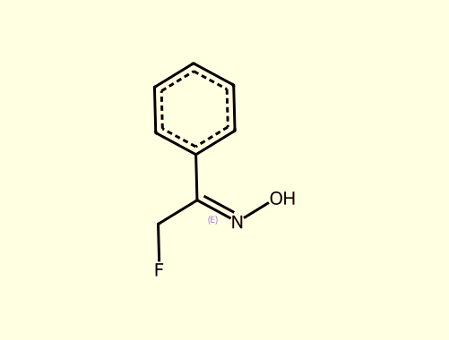 O/N=C(/CF)c1ccccc1